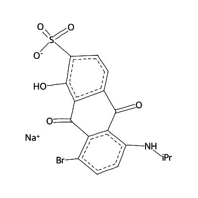 CC(C)Nc1ccc(Br)c2c1C(=O)c1ccc(S(=O)(=O)[O-])c(O)c1C2=O.[Na+]